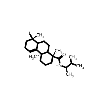 CC(C)[C@@H](C)NC(=O)[C@]1(C)CCC[C@@]2(C)C3=CCC[C@](C)(I)C3CCC12